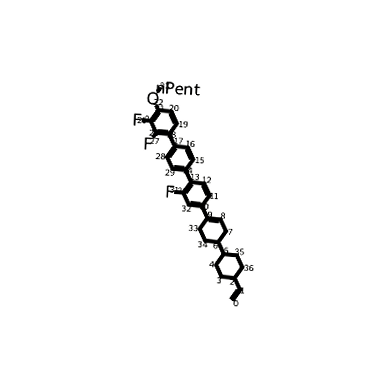 C=CC1CCC(C2CC=C(c3ccc(-c4ccc(-c5ccc(OCCCCC)c(F)c5F)cc4)c(F)c3)CC2)CC1